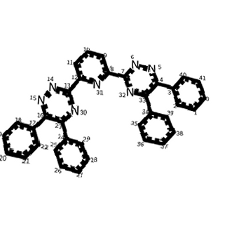 c1ccc(-c2nnc(-c3cccc(-c4nnc(-c5ccccc5)c(-c5ccccc5)n4)n3)nc2-c2ccccc2)cc1